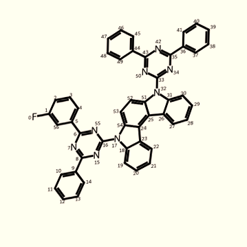 Fc1cccc(-c2nc(-c3ccccc3)nc(-n3c4ccccc4c4c5c6ccccc6n(-c6nc(-c7ccccc7)nc(-c7ccccc7)n6)c5ccc43)n2)c1